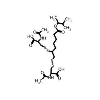 CC(=O)NC(CSSCC(CCCCC(=O)OC(C)C(C)C)SSCC(NC(C)=O)C(=O)O)C(=O)O